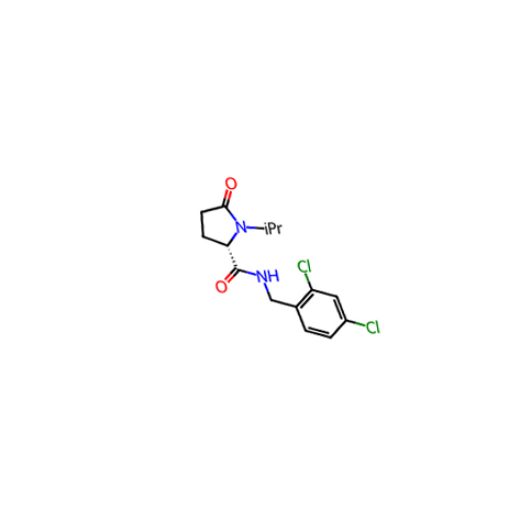 CC(C)N1C(=O)CC[C@H]1C(=O)NCc1ccc(Cl)cc1Cl